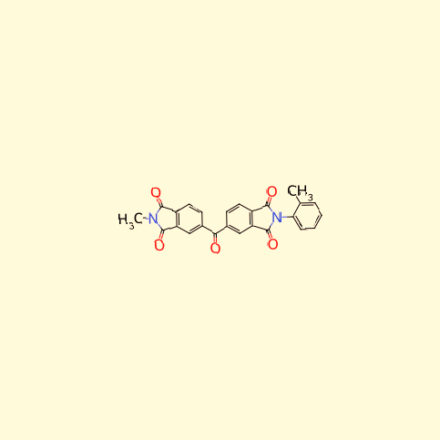 Cc1ccccc1N1C(=O)c2ccc(C(=O)c3ccc4c(c3)C(=O)N(C)C4=O)cc2C1=O